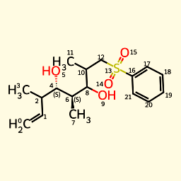 C=CC(C)[C@H](O)[C@H](C)C(O)C(C)CS(=O)(=O)c1ccccc1